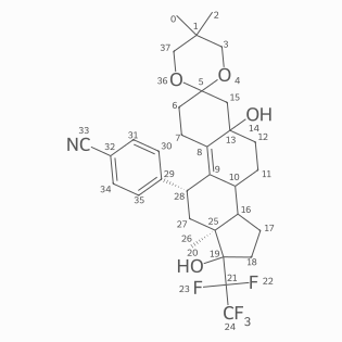 CC1(C)COC2(CCC3=C4C(CCC3(O)C2)C2CCC(O)(C(F)(F)C(F)(F)F)[C@@]2(C)C[C@@H]4c2ccc(C#N)cc2)OC1